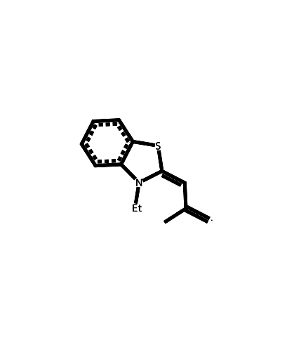 [CH]=C(C)C=C1Sc2ccccc2N1CC